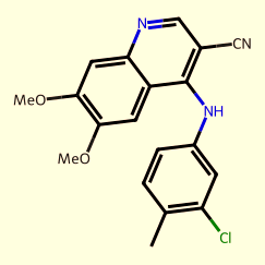 COc1cc2ncc(C#N)c(Nc3ccc(C)c(Cl)c3)c2cc1OC